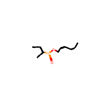 CCCCO[PH](=O)C(C)CC